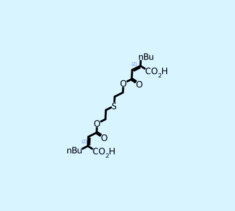 CCCC/C(=C/C(=O)OCCSCCOC(=O)/C=C(/CCCC)C(=O)O)C(=O)O